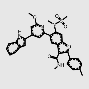 CNC(=O)c1c(-c2ccc(C)cc2)oc2cc(N(C)S(C)(=O)=O)c(-c3cc(-c4cc5ccccc5[nH]4)cc(OC)n3)cc12